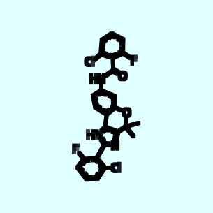 CC1(C)Oc2cc(NC(=O)c3c(F)cccc3Cl)ccc2-c2[nH]c(-c3c(F)cccc3Cl)nc21